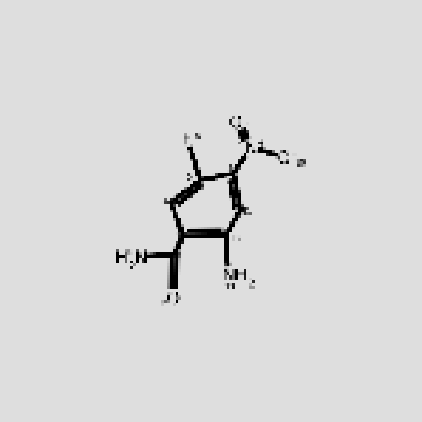 NC(=O)c1cc(F)c([N+](=O)[O-])cc1N